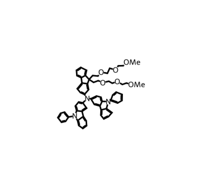 COCCOCCOCCC1(CCOCCOCCOC)c2ccccc2-c2ccc(N(c3ccc4c(c3)c3ccccc3n4-c3ccccc3)c3ccc4c(c3)c3ccccc3n4-c3ccccc3)cc21